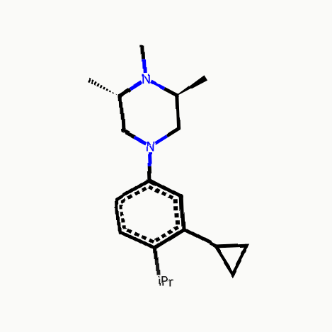 CC(C)c1ccc(N2C[C@H](C)N(C)[C@@H](C)C2)cc1C1CC1